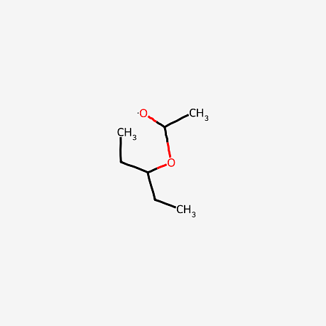 CCC(CC)OC(C)[O]